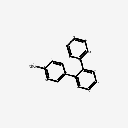 CC(C)(C)c1ccc(-c2c[c]ccc2-c2ccccc2)cc1